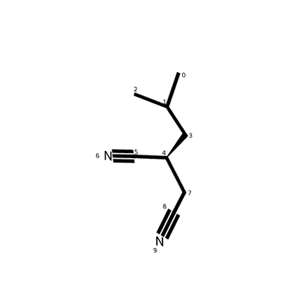 CC(C)C[C@H](C#N)CC#N